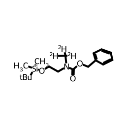 [2H]C([2H])([2H])N(CCO[Si](C)(C)C(C)(C)C)C(=O)OCc1ccccc1